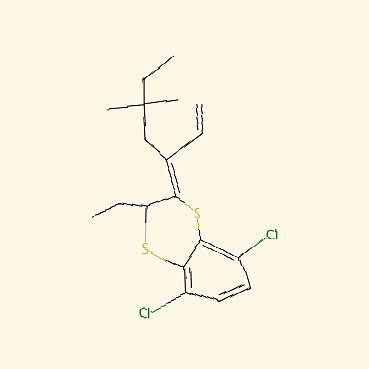 C=C/C(CC(C)(C)CC)=C1\Sc2c(Cl)ccc(Cl)c2SC1CC